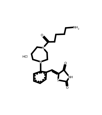 Cl.NCCCCC(=O)N1CCCN(c2ccccc2/C=C2\SC(=O)NC2=O)CC1